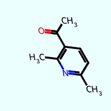 CC(=O)c1ccc(C)nc1C